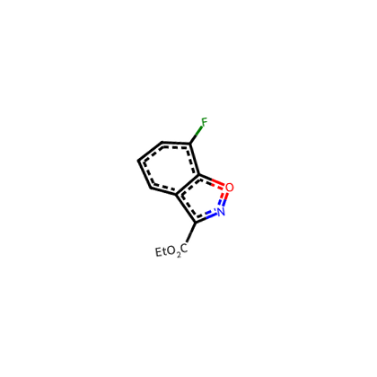 CCOC(=O)c1noc2c(F)cccc12